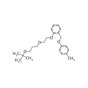 Cc1ccc(OCc2ccccc2OCCOCCCOC(C)(C)C)cc1